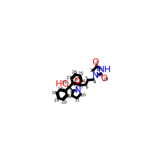 O=C1CN(CCCC(=O)N2CCC[C@H]2C(O)(c2ccccc2)c2ccccc2)C(=O)N1